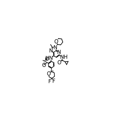 Cc1nc2c(Nc3ccc([C@H]4CCC(F)(F)CO4)cc3S(C)(=O)=O)cc(NC(=O)C3CC3)nc2n1C1CCCCO1